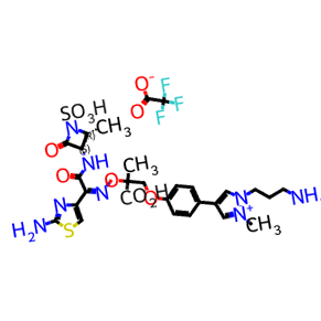 C[C@@H]1[C@H](NC(=O)C(=NOC(C)(COc2ccc(-c3cn(CCCN)[n+](C)c3)cc2)C(=O)O)c2csc(N)n2)C(=O)N1S(=O)(=O)O.O=C([O-])C(F)(F)F